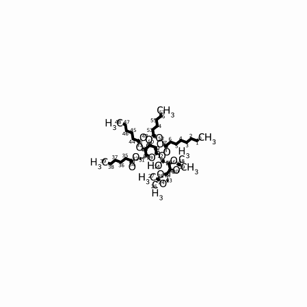 CCCCCCCC(=O)O[C@@H]1[C@H](OC(O)[C@@H]2OC(C)(C)O[C@H]2[C@@H]2COC(C)(C)O2)O[C@H](COC(=O)CCCCC)[C@@H](OC(=O)CCCCC)[C@@H]1OC(=O)CCCCC